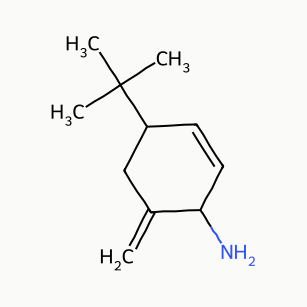 C=C1CC(C(C)(C)C)C=CC1N